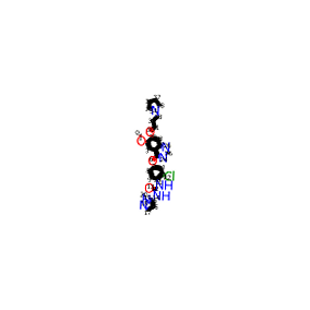 COc1cc2c(Oc3ccc(NC(=O)Nc4ccnn4C)c(Cl)c3)ncnc2cc1OCCCN1CCCC1